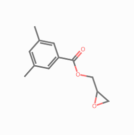 Cc1cc(C)cc(C(=O)OCC2CO2)c1